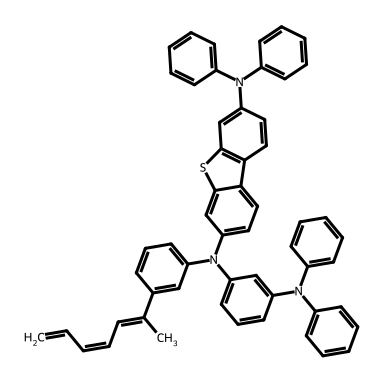 C=C/C=C\C=C(/C)c1cccc(N(c2cccc(N(c3ccccc3)c3ccccc3)c2)c2ccc3c(c2)sc2cc(N(c4ccccc4)c4ccccc4)ccc23)c1